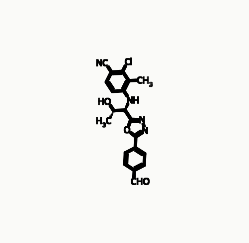 Cc1c(N[C@@H](c2nnc(-c3ccc(C=O)cc3)o2)[C@H](C)O)ccc(C#N)c1Cl